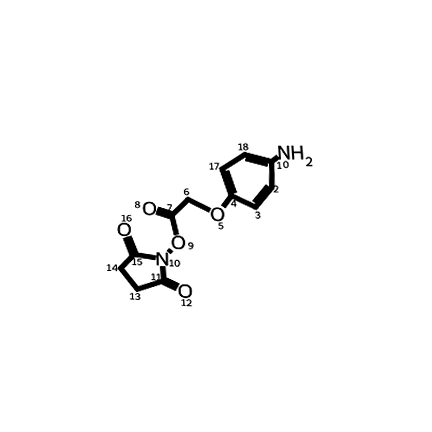 Nc1ccc(OCC(=O)ON2C(=O)CCC2=O)cc1